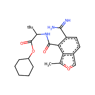 Cc1occ2ccc(C(=N)N)c(C(=O)NC(C(=O)OC3CCCCC3)C(C)(C)C)c12